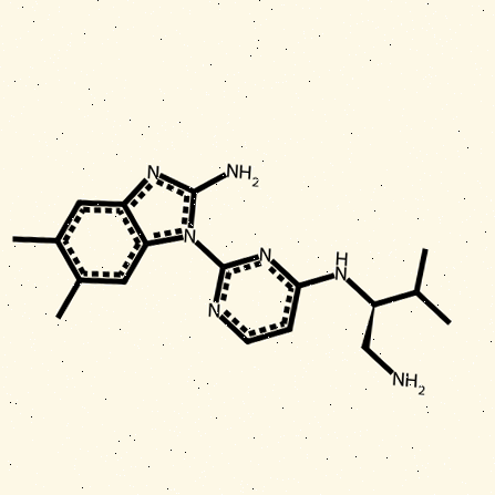 Cc1cc2nc(N)n(-c3nccc(N[C@H](CN)C(C)C)n3)c2cc1C